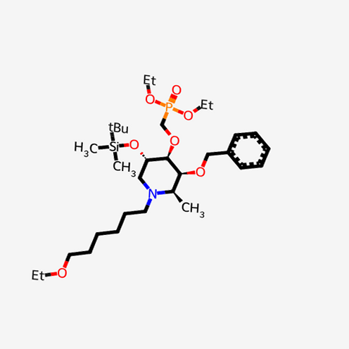 CCOCCCCCCN1C[C@H](O[Si](C)(C)C(C)(C)C)[C@@H](OCP(=O)(OCC)OCC)[C@@H](OCc2ccccc2)[C@H]1C